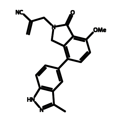 C=C(C#N)CN1Cc2c(-c3ccc4[nH]nc(C)c4c3)ccc(OC)c2C1=O